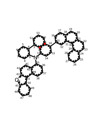 c1ccc(-c2ccccc2N(c2ccc(-c3ccc4ccc5ccc6ccccc6c5c4c3)cc2)c2cccc3c2ccc2oc4ccccc4c23)cc1